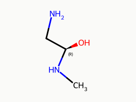 CN[C@H](O)CN